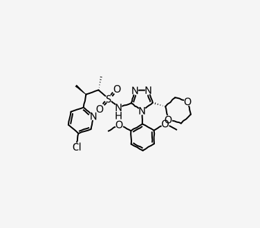 COc1cccc(OC)c1-n1c(NS(=O)(=O)[C@@H](C)[C@H](C)c2ccc(Cl)cn2)nnc1[C@@H]1COCCO1